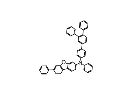 c1ccc(-c2ccc3c(c2)oc2cc(N(c4ccccc4)c4ccc(-c5ccc(-c6ccccc6)c(-c6ccccc6)c5)cc4)ccc23)cc1